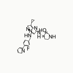 O[C@H]1CNCC[C@@H]1CNc1cc(NCc2ccc(-c3ccccn3)c(F)c2)n2ncc(C3CC3)c2n1